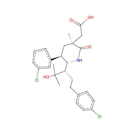 CC(C)(O)[C@@H](CCc1ccc(Cl)cc1)[C@H]1NC(=O)[C@](C)(CC(=O)O)C[C@@H]1c1cccc(Cl)c1